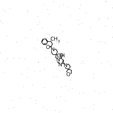 C[C@H](CC(=O)N1CCC(O)(Cn2cnc(N3CCC4(CCOC4)C3)cc2=O)CC1)c1ccccc1